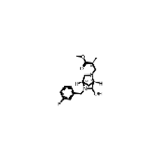 COC(=O)[C@@H](C)CN1C[C@@H]2C[C@H]1C(O)N2Cc1cccc(F)c1